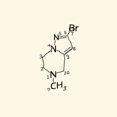 CN1CCn2nc(Br)cc2C1